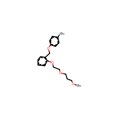 CC(C)(C)OCCCOCCOc1ccccc1COc1ccc(C(C)(C)C)cc1